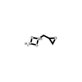 C1OC1C[SiH]1O[SiH2]O1